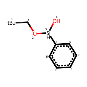 CC(C)(C)CO[SiH](O)c1ccccc1